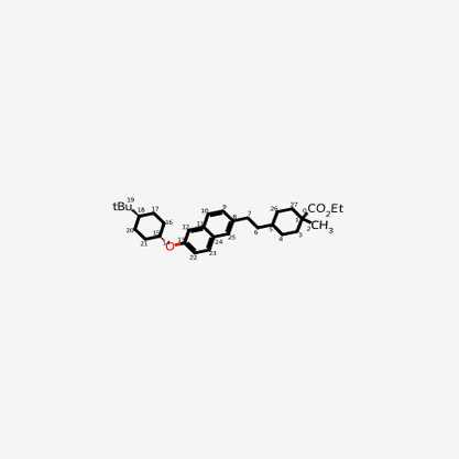 CCOC(=O)C1(C)CCC(CCc2ccc3cc(O[C@H]4CC[C@H](C(C)(C)C)CC4)ccc3c2)CC1